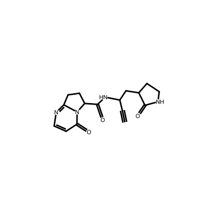 C#CC(CC1CCNC1=O)NC(=O)C1CCc2nccc(=O)n21